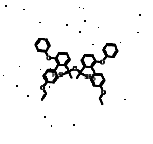 CCOc1ccc(-c2c(Oc3ccccc3)cccc2C(C)([SiH3])OC(C)([SiH3])c2cccc(Oc3ccccc3)c2-c2ccc(OCC)cc2)cc1